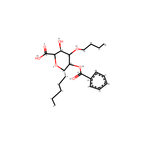 CCCCC[C@@H]1OC(C(=O)O)[C@@H](O)C(OCCCC)C1OC(=O)c1ccccc1